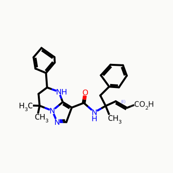 CC(/C=C/C(=O)O)(Cc1ccccc1)NC(=O)c1cnn2c1NC(c1ccccc1)CC2(C)C